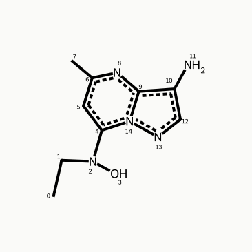 CCN(O)c1cc(C)nc2c(N)cnn12